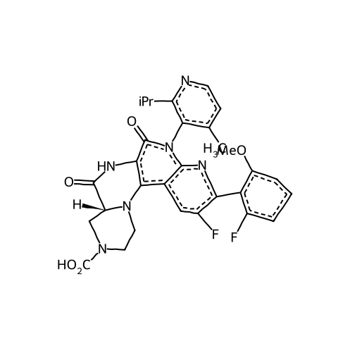 COc1cccc(F)c1-c1nc2c(cc1F)c1c(c(=O)n2-c2c(C)ccnc2C(C)C)NC(=O)[C@H]2CN(C(=O)O)CCN12